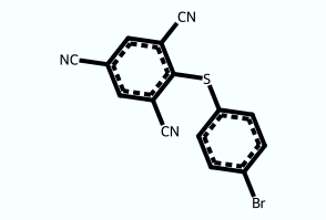 N#Cc1cc(C#N)c(Sc2ccc(Br)cc2)c(C#N)c1